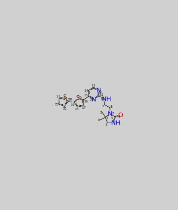 CC1(C)CNC(=O)N1CCNc1nccc(-c2ccc(-c3cccs3)s2)n1